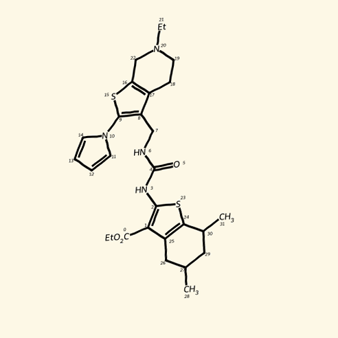 CCOC(=O)c1c(NC(=O)NCc2c(-n3cccc3)sc3c2CCN(CC)C3)sc2c1CC(C)CC2C